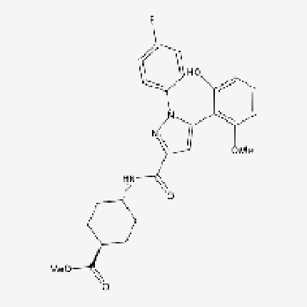 COc1cccc(O)c1-c1cc(C(=O)N[C@H]2CC[C@H](C(=O)OC)CC2)nn1C1=C=C=C(F)C=C1